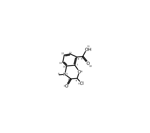 CN1C(=O)C(Cl)Oc2c(C(=O)O)cccc21